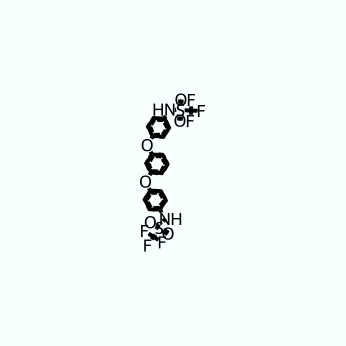 O=S(=O)(Nc1ccc(Oc2cccc(Oc3ccc(NS(=O)(=O)C(F)(F)F)cc3)c2)cc1)C(F)(F)F